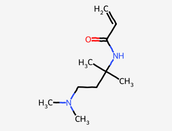 C=CC(=O)NC(C)(C)CCN(C)C